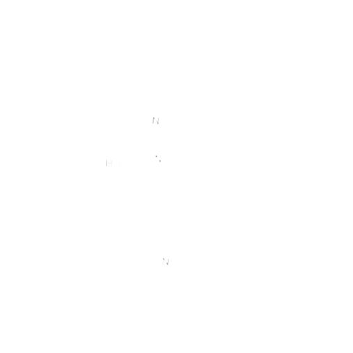 CC1C2CCCN2CCN1c1ccc(C#N)cc1